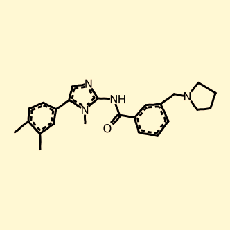 Cc1ccc(-c2cnc(NC(=O)c3cccc(CN4CCCC4)c3)n2C)cc1C